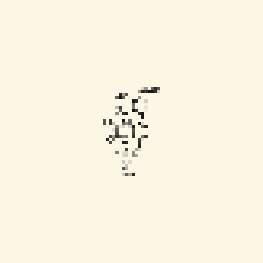 CCCOC[C@@H](Cc1ccccc1)[C@H](C)OC(=O)[C@H](CC)NC(=O)c1nccc(OC)c1O